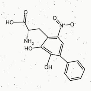 N[C@@H](Cc1c([N+](=O)[O-])cc(-c2ccccc2)c(O)c1O)C(=O)O